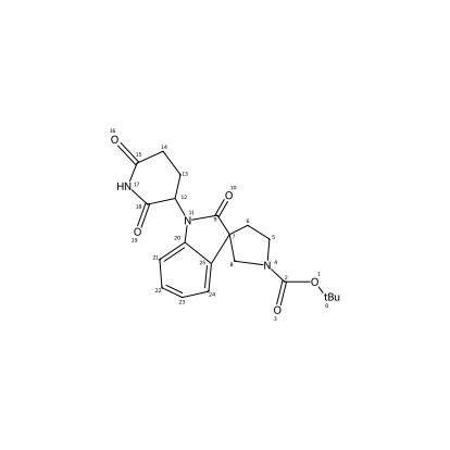 CC(C)(C)OC(=O)N1CCC2(C1)C(=O)N(C1CCC(=O)NC1=O)c1ccccc12